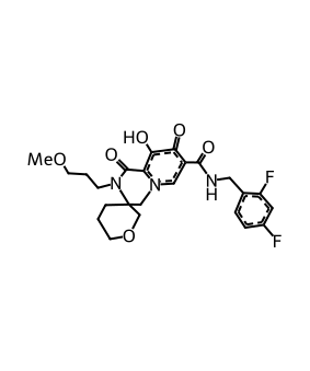 COCCCN1C(=O)c2c(O)c(=O)c(C(=O)NCc3ccc(F)cc3F)cn2CC12CCCOC2